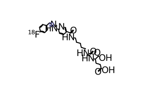 O=C(O)CCC(NC(=O)NCCCCCNC(=O)c1ccc(N/N=C\c2ccc([18F])cc2)nc1)C(=O)O